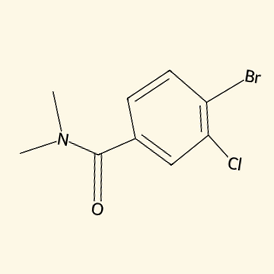 CN(C)C(=O)c1ccc(Br)c(Cl)c1